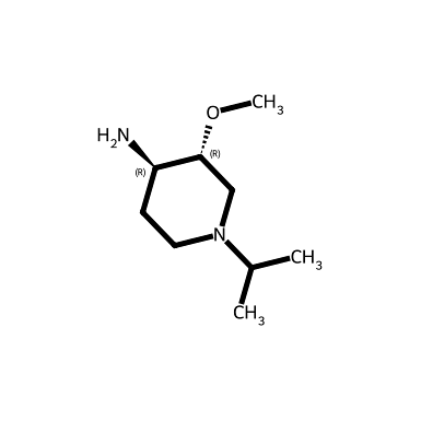 CO[C@@H]1CN(C(C)C)CC[C@H]1N